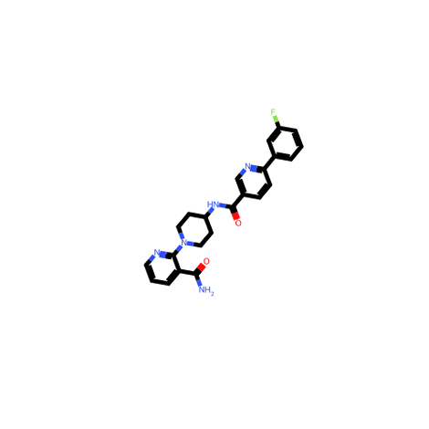 NC(=O)c1cccnc1N1CCC(NC(=O)c2ccc(-c3cccc(F)c3)nc2)CC1